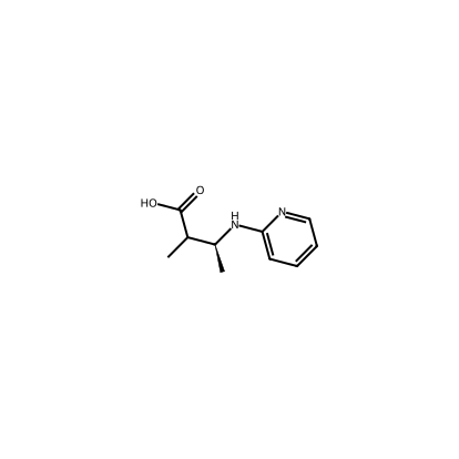 CC(C(=O)O)[C@H](C)Nc1ccccn1